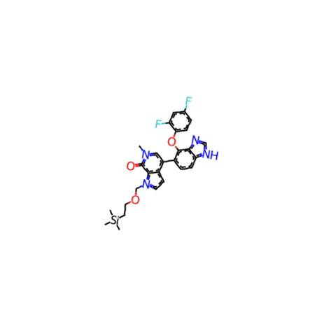 Cn1cc(-c2ccc3[nH]cnc3c2Oc2ccc(F)cc2F)c2ccn(COCC[Si](C)(C)C)c2c1=O